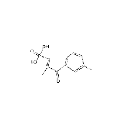 CC(=CP(=O)(O)O)C(=O)c1cccc(C)c1